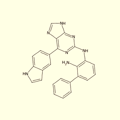 Nc1c(Nc2nc(-c3ccc4[nH]ccc4c3)c3nc[nH]c3n2)cccc1-c1ccccc1